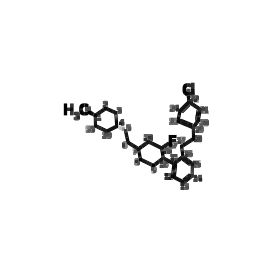 C[C@H]1CC[C@H](CCC2CCC(c3ccccc3CCc3ccc(Cl)cc3)C(F)C2)CC1